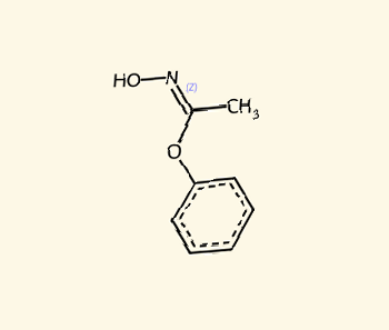 C/C(=N/O)Oc1ccccc1